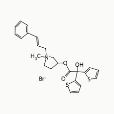 C[N+]1(CC=Cc2ccccc2)CCC(OC(=O)C(O)(c2cccs2)c2cccs2)C1.[Br-]